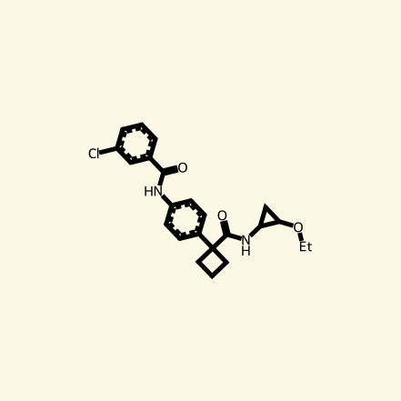 CCOC1CC1NC(=O)C1(c2ccc(NC(=O)c3cccc(Cl)c3)cc2)CCC1